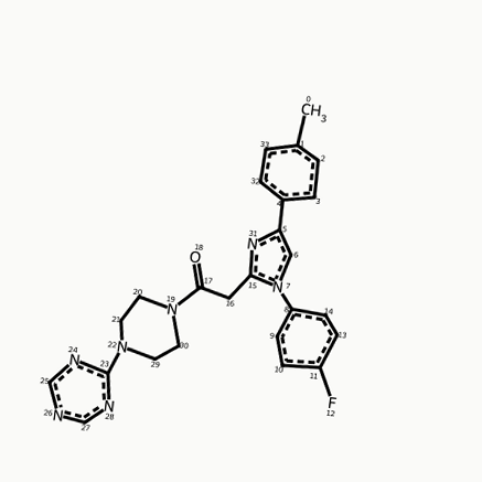 Cc1ccc(-c2cn(-c3ccc(F)cc3)c(CC(=O)N3CCN(c4ncncn4)CC3)n2)cc1